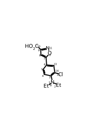 CCN(CC)c1ccc(-c2cc(C(=O)O)no2)cc1Cl